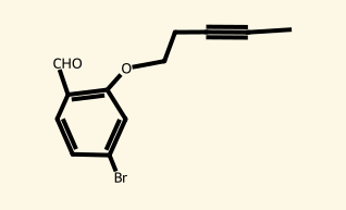 CC#CCCOc1cc(Br)ccc1C=O